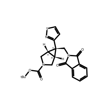 CC(C)(C)OC(=O)N1C[C@@H]2[C@H](C1)[C@]2(CN1C(=O)c2ccccc2C1=O)c1ccsn1